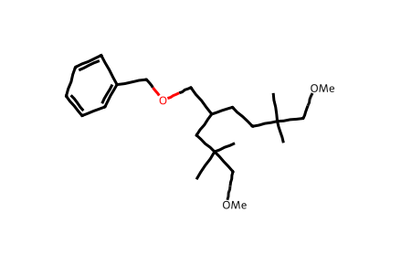 COCC(C)(C)CCC(COCc1ccccc1)CC(C)(C)COC